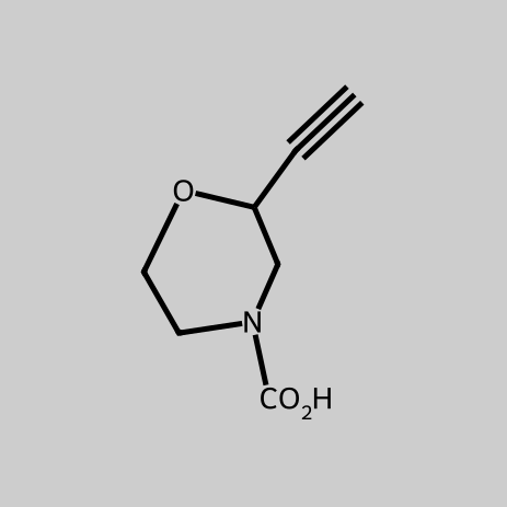 C#CC1CN(C(=O)O)CCO1